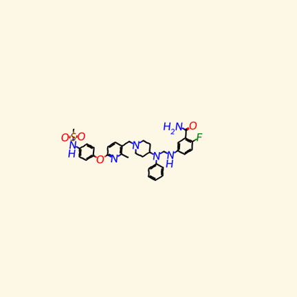 Cc1nc(Oc2ccc(NS(C)(=O)=O)cc2)ccc1CN1CCC(N(CNc2ccc(F)c(C(N)=O)c2)c2ccccc2)CC1